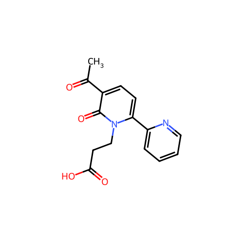 CC(=O)c1ccc(-c2ccccn2)n(CCC(=O)O)c1=O